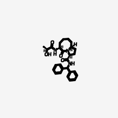 C[C@H](O)C(=O)N[C@H]1CCCC[C@H]2CC[C@@H](C(=O)NC(c3ccccc3)c3ccccc3)N2C1=O